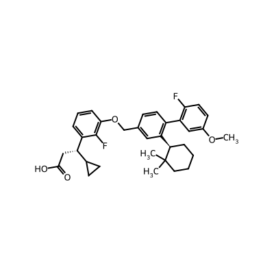 COc1ccc(F)c(-c2ccc(COc3cccc([C@@H](CC(=O)O)C4CC4)c3F)cc2[C@H]2CCCCC2(C)C)c1